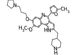 COc1cc2c(cc1OCCCN1CCCC1)nc(-c1ccc(C)o1)c1cc(CC3CCNCC3)[nH]c12